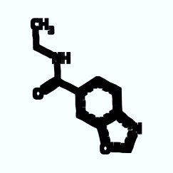 CCNC(=O)c1ccc2ncoc2c1